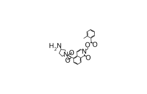 Cc1ccccc1C(=O)OCn1ccc2c(S(=O)(=O)N3CCC(N)C3)cccc2c1=O